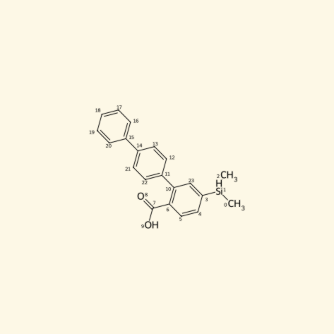 C[SiH](C)c1ccc(C(=O)O)c(-c2ccc(-c3ccccc3)cc2)c1